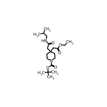 CCOC(=O)CC1(CC(=O)NCC(C)C)CCN(C(=O)OC(C)(C)C)CC1